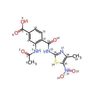 CC(=O)Nc1cc(C(=O)O)ccc1C(=O)Nc1nc(C)c([N+](=O)[O-])s1